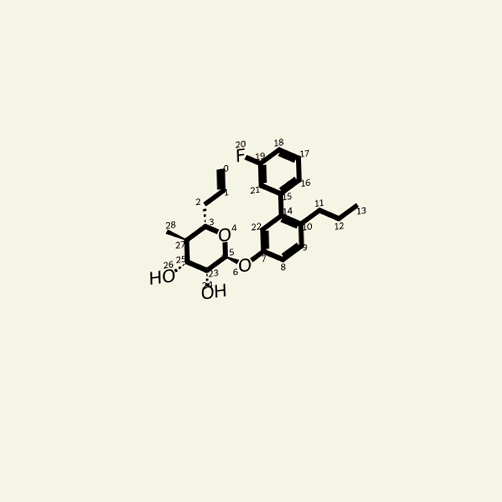 C=CC[C@@H]1O[C@@H](Oc2ccc(CCC)c(-c3cccc(F)c3)c2)[C@H](O)[C@H](O)[C@H]1C